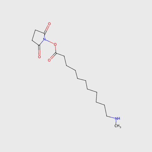 CNCCCCCCCCCCC(=O)ON1C(=O)CCC1=O